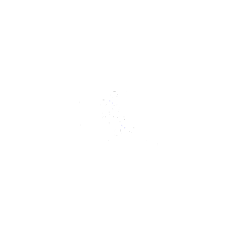 CCCCCCc1cccc(C2(C)c3cc(N(c4ccc(C)cc4)c4ccc(OCCCC)cc4)ccc3-c3ccc(N(c4ccc(C)cc4)c4ccc(OCCCC)cc4)cc32)c1